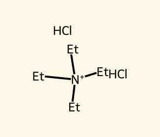 CC[N+](CC)(CC)CC.Cl.Cl